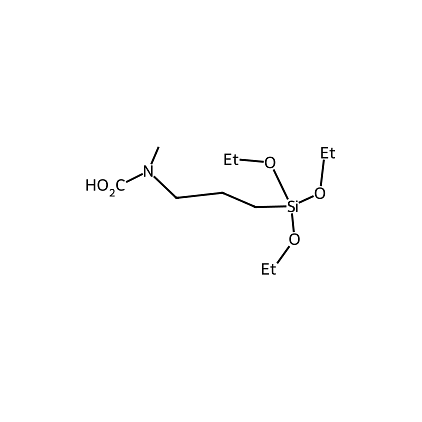 CCO[Si](CCCN(C)C(=O)O)(OCC)OCC